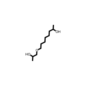 CC(O)CCCCCCOCC(C)O